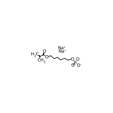 C=C(C)C(=O)OCCCCCCOP(=O)([O-])[O-].[Na+].[Na+]